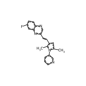 Cc1cc(/C=C/c2cnc3ccc(F)cc3n2)c(C)n1-c1cccnc1